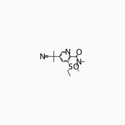 CCSc1cc(C(C)(C)C#N)cnc1C(=O)N(C)OC